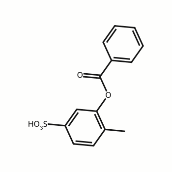 Cc1ccc(S(=O)(=O)O)cc1OC(=O)c1ccccc1